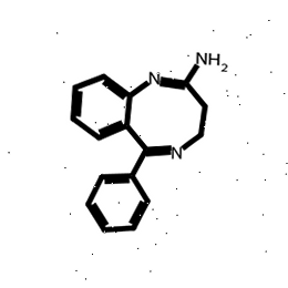 N/C1=N/c2ccccc2/C(c2ccccc2)=N\CC1